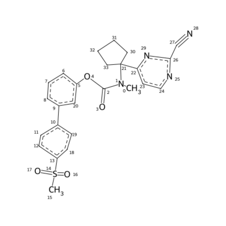 CN(C(=O)Oc1cccc(-c2ccc(S(C)(=O)=O)cc2)c1)C1(c2ccnc(C#N)n2)CCCC1